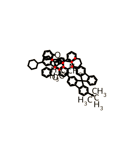 CC(C)(C)c1ccc2c(c1)C1(c3ccccc3-c3ccc(N(c4ccc5c(c4)C4(c6ccccc6O5)c5cc(C6CCCCC6)ccc5-c5ccc(C6CCCCC6)cc54)c4ccccc4-c4cccc5c4oc4ccccc45)cc31)c1cc(C(C)(C)C)ccc1-2